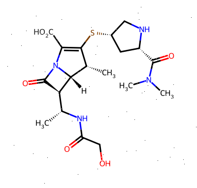 C[C@@H](NC(=O)CO)[C@H]1C(=O)N2C(C(=O)O)=C(S[C@@H]3CN[C@H](C(=O)N(C)C)C3)[C@H](C)[C@H]12